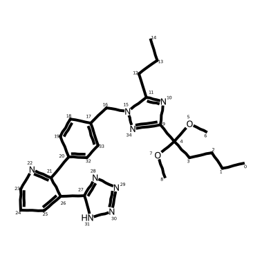 CCCCC(OC)(OC)c1nc(CCC)n(Cc2ccc(-c3ncccc3-c3nnn[nH]3)cc2)n1